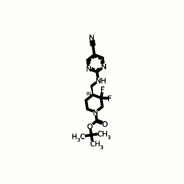 CC(C)(C)OC(=O)N1CC[C@@H](CNc2ncc(C#N)cn2)C(F)(F)C1